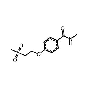 CNC(=O)c1ccc(OCCS(C)(=O)=O)cc1